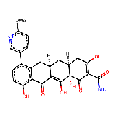 COc1ccc(-c2ccc(O)c3c2C[C@H]2C[C@H]4CC(O)=C(C(N)=O)C(=O)[C@@]4(O)C(O)=C2C3=O)cn1